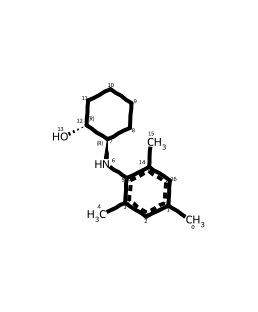 Cc1cc(C)c(N[C@@H]2CCCC[C@H]2O)c(C)c1